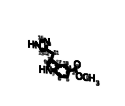 COC(=O)c1ccc2[nH]cc(Cc3c[nH]cn3)c2c1